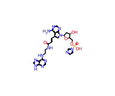 Nc1ncnc2c1c(/C=C/C(=O)NCCNc1ncnc3[nH]cnc13)cn2[C@H]1C[C@@H](O)C(COP(=O)(O)n2ccnc2)O1